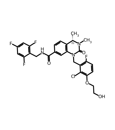 C[C@H]1c2ccc(C(=O)NCc3c(F)cc(F)cc3F)cc2N(Cc2c(F)ccc(OCCO)c2Cl)C(=O)N1C